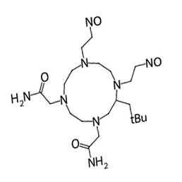 CC(C)(C)CC1CN(CC(N)=O)CCN(CC(N)=O)CCN(CCN=O)CCN1CCN=O